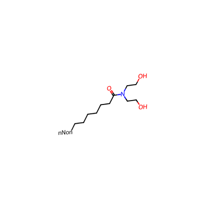 CCCCCCCCCCCCCCCC(=O)N(CCO)CCO